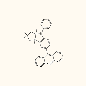 CC1(C)CC2(C)c3cc(-c4c5ccccc5cc5ccccc45)ccc3N(c3ccccc3)C2(C)C1